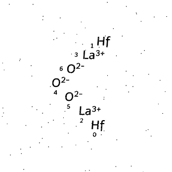 [Hf].[Hf].[La+3].[La+3].[O-2].[O-2].[O-2]